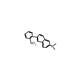 CN(C)c1ccc2cc(-c3[c]cccc3[N+](=O)[O-])ccc2c1